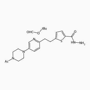 CC(=O)N1CCN(c2ccc(CCc3ccc(C(=O)NN)s3)nc2)CC1.CC(C)(C)OC=O